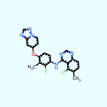 Cc1ccc2ncnc(Nc3ccc(Oc4ccn5ncnc5c4)c(C)c3F)c2c1F